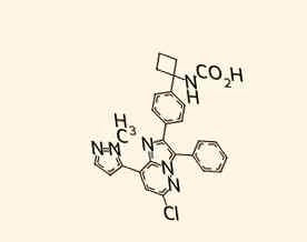 Cn1nccc1-c1cc(Cl)nn2c(-c3ccccc3)c(-c3ccc(C4(NC(=O)O)CCC4)cc3)nc12